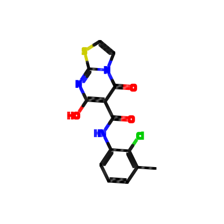 Cc1cccc(NC(=O)c2c(O)nc3sccn3c2=O)c1Cl